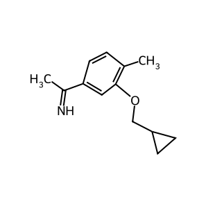 CC(=N)c1ccc(C)c(OCC2CC2)c1